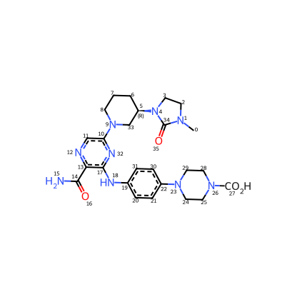 CN1CCN([C@@H]2CCCN(c3cnc(C(N)=O)c(Nc4ccc(N5CCN(C(=O)O)CC5)cc4)n3)C2)C1=O